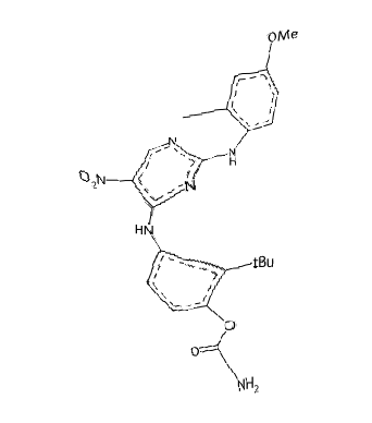 COc1ccc(Nc2ncc([N+](=O)[O-])c(Nc3ccc(OC(N)=O)c(C(C)(C)C)c3)n2)c(C)c1